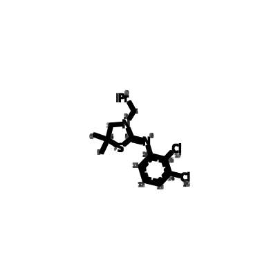 CC(C)CN1CC(C)(C)S/C1=N\c1cccc(Cl)c1Cl